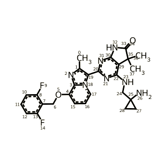 Cc1nc2c(OCc3c(F)cccc3F)cccn2c1-c1nc(NCC2(N)CC2)c2c(n1)NC(=O)C2(C)C